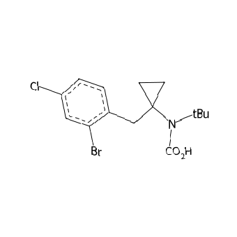 CC(C)(C)N(C(=O)O)C1(Cc2ccc(Cl)cc2Br)CC1